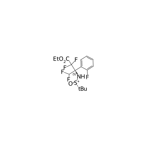 CCOC(=O)C(F)(F)[C@](N[S+]([O-])C(C)(C)C)(c1ccccc1F)C(F)F